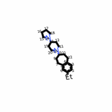 CCc1ccc2c(c1)CCC(N1CCC(N3CCCC3)CC1)CC2